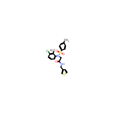 Cc1ccc(S(=O)(=O)N(CC(=O)NCc2ccsc2)c2cccc(Cl)c2C)cc1